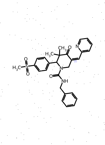 CC1(C)C(=O)/C(=C\c2ccccn2)CN(C(=O)NCc2ccccc2)C1c1ccc(S(C)(=O)=O)cc1